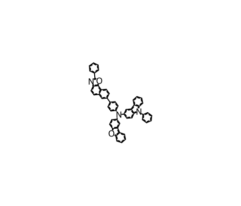 c1ccc(-c2nc3ccc4cc(-c5ccc(N(c6ccc7oc8ccccc8c7c6)c6ccc7c(c6)c6ccccc6n7-c6ccccc6)cc5)ccc4c3o2)cc1